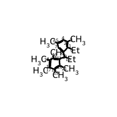 CCc1c(C)cc(C)cc1C(CC)c1c(C)c(C)c(C)c(C)c1C